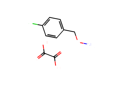 NOCc1ccc(Cl)cc1.O=C(O)C(=O)O